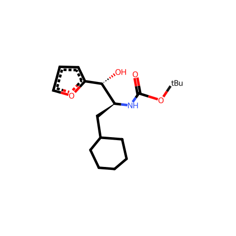 CC(C)(C)OC(=O)N[C@@H](CC1CCCCC1)[C@@H](O)c1ccco1